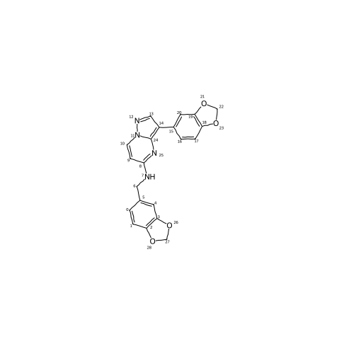 c1cc2c(cc1CNc1ccn3ncc(-c4ccc5c(c4)OCO5)c3n1)OCO2